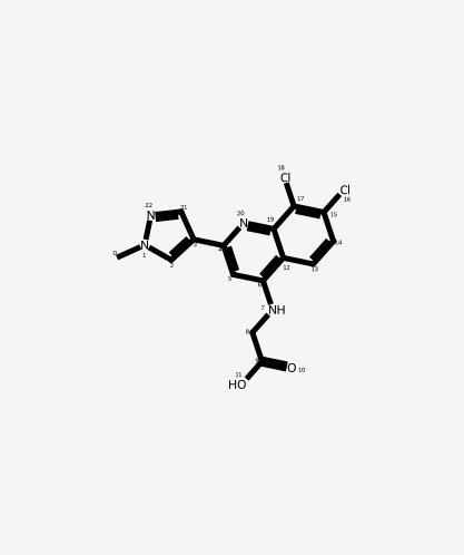 Cn1cc(-c2cc(NCC(=O)O)c3ccc(Cl)c(Cl)c3n2)cn1